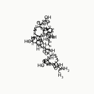 C[C@H](N)C(=O)N[C@H]1CSSC[C@@H](C(=O)N[C@@H](CCCNC(=N)N)C(=O)NCC(=O)N[C@@H](CC(=O)O)C(=O)N[C@H]2CSSC[C@@H](C(=O)NCC(=O)O)NC(=O)[C@H](Cc3ccccc3)NC2=O)NC(=O)[C@H](CC(=O)O)NC1=O